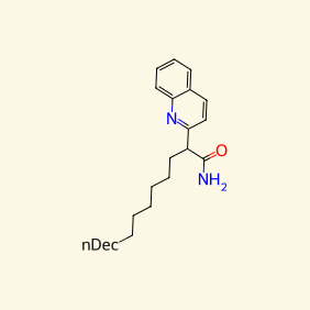 CCCCCCCCCCCCCCCCC(C(N)=O)c1ccc2ccccc2n1